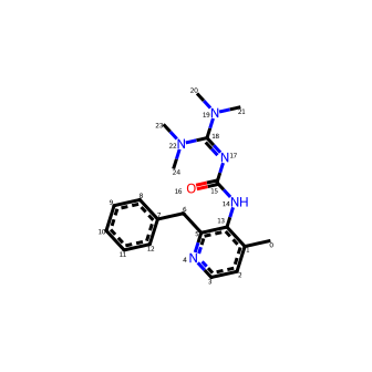 Cc1ccnc(Cc2ccccc2)c1NC(=O)N=C(N(C)C)N(C)C